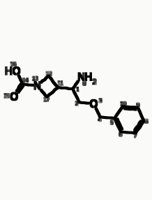 NC(COCc1ccccc1)C1CN(C(=O)O)C1